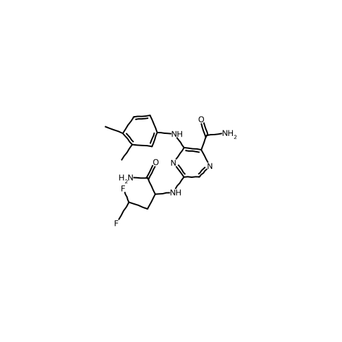 Cc1ccc(Nc2nc(NC(CC(F)F)C(N)=O)cnc2C(N)=O)cc1C